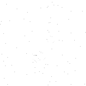 CC(Oc1ccc(Cl)c(Cl)c1)c1ccn2ncnc2n1